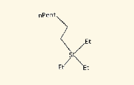 [CH2]CCCCCC[Si](CC)(CC)CC